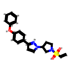 C=CS(=O)(=O)N1CCC(n2ccc(-c3ccc(Oc4ccccc4)cc3)n2)C1